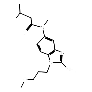 COCCCn1c(N)nc2cc(N(C)C(=O)CC(C)C)ccc21